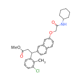 COC(=O)CC(c1ccc2ccc(OCC(=O)NC3CCCCC3)cc2c1)c1cccc(Cl)c1C